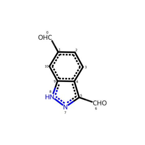 O=Cc1ccc2c(C=O)n[nH]c2c1